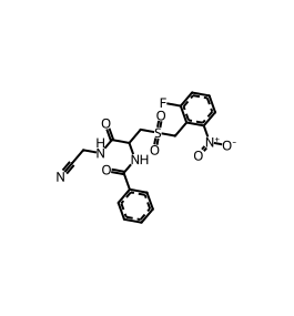 N#CCNC(=O)C(CS(=O)(=O)Cc1c(F)cccc1[N+](=O)[O-])NC(=O)c1ccccc1